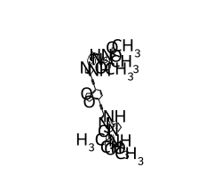 COC(=O)N[C@H](C(=O)N1CCC[C@H]1c1ncc(C#Cc2ccc(C#Cc3cnc([C@@H]4CCCN4C(=O)[C@@H](NC(=O)OC)C(C)C)[nH]3)c3c2OCO3)[nH]1)C(C)C